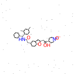 Cc1ccc(C(NC(=O)Cc2ccc3oc(C[C@@H](O)c4cc[n+]([O-])cc4)cc3c2)c2ccccc2)c(C)c1